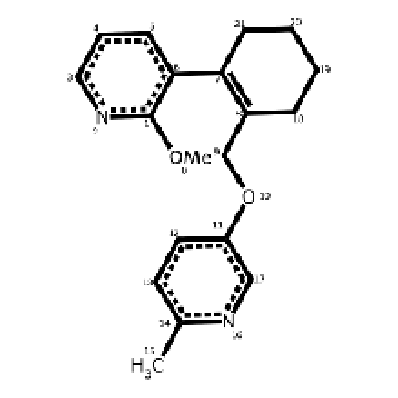 COc1ncccc1C1=C(COc2ccc(C)nc2)CCCC1